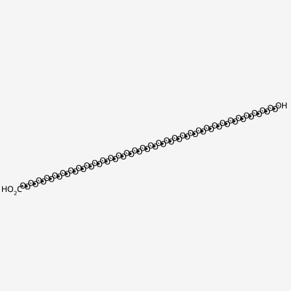 O=C(O)OOOOOOOOOOOOOOOOOOOOOOOOOOOOOOOOOOOOOOOOOOOOOOOOOOOOOOOOOOOOOOOOO